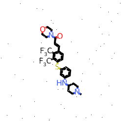 CN1CCC(Nc2cccc(Sc3ccc(/C=C/C(=O)N4CCOCC4)c(C(F)(F)F)c3C(F)(F)F)c2)CC1